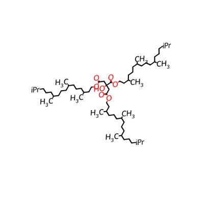 CC(C)CCCC(C)CCCC(C)CCCC(C)CCOC(=O)CC(O)(CC(=O)OCCC(C)CCCC(C)CCCC(C)CCCC(C)C)C(=O)OCCC(C)CCCC(C)CCCC(C)CCCC(C)C